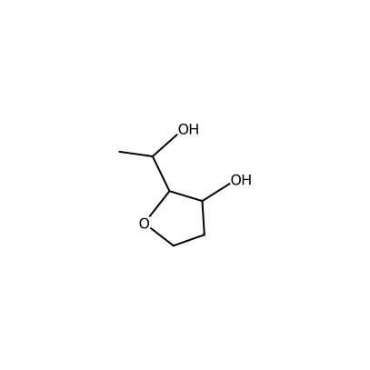 CC(O)C1OCCC1O